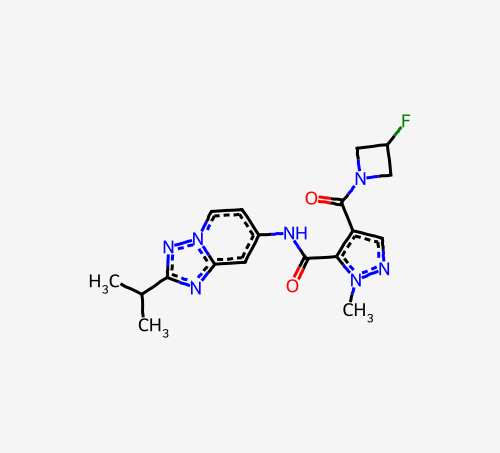 CC(C)c1nc2cc(NC(=O)c3c(C(=O)N4CC(F)C4)cnn3C)ccn2n1